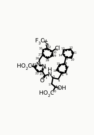 O=C(NC(Cc1ccc(-c2ccccc2)cc1)CC(O)C(=O)O)c1cc(C(=O)O)n(Cc2ccc(Cl)c(SC(F)(F)F)c2)n1